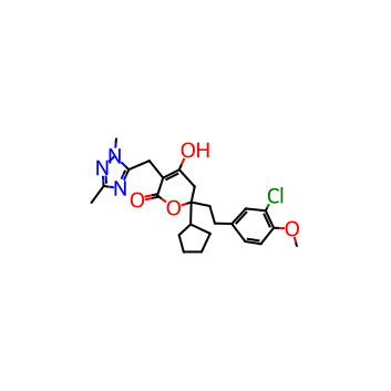 COc1ccc(CCC2(C3CCCC3)CC(O)=C(Cc3nc(C)nn3C)C(=O)O2)cc1Cl